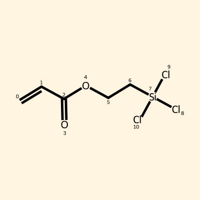 C=CC(=O)OCC[Si](Cl)(Cl)Cl